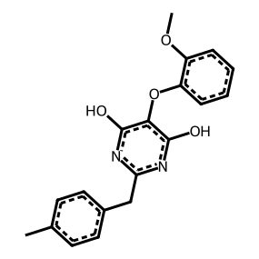 COc1ccccc1Oc1c(O)nc(Cc2ccc(C)cc2)nc1O